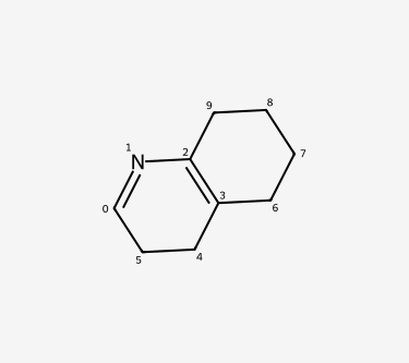 C1=NC2=C(CC1)CCCC2